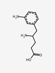 Nc1cccc(CC(N)CCC(=O)O)c1